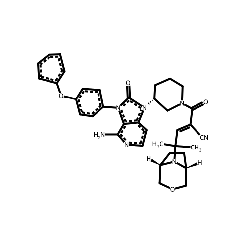 CC(C)(C=C(C#N)C(=O)N1CCC[C@@H](n2c(=O)n(-c3ccc(Oc4ccccc4)cc3)c3c(N)nccc32)C1)N1[C@@H]2CC[C@H]1COC2